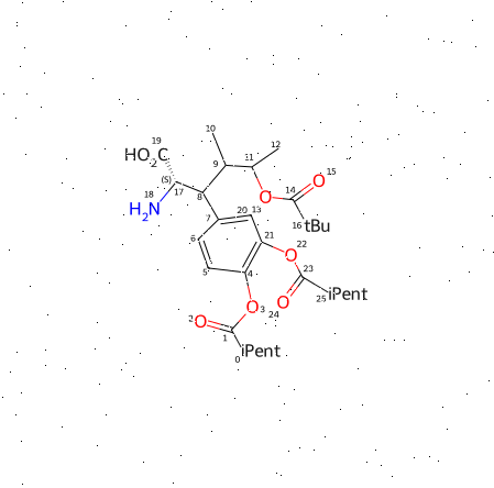 CCCC(C)C(=O)Oc1ccc(C(C(C)C(C)OC(=O)C(C)(C)C)[C@H](N)C(=O)O)cc1OC(=O)C(C)CCC